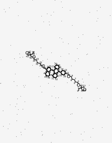 CCC1(COCCCCCOCc2ccc(-c3c4ccccc4c(-c4ccc(COCCCCCOCC5(CC)COC5)c5ccccc45)c4ccccc34)cc2)COC1